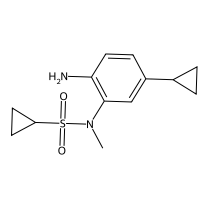 CN(c1cc(C2CC2)ccc1N)S(=O)(=O)C1CC1